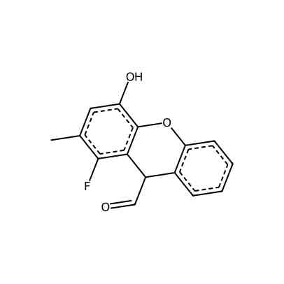 Cc1cc(O)c2c(c1F)C(C=O)c1ccccc1O2